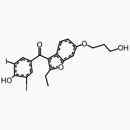 CCc1oc2cc(OCCCO)ccc2c1C(=O)c1cc(I)c(O)c(I)c1